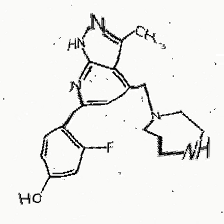 Cc1n[nH]c2nc(-c3ccc(O)cc3F)cc(CN3CCNCC3)c12